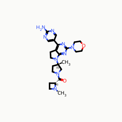 CN1CC[C@@H]1C(=O)N1CC[C@](C)(N2CCc3c(-c4cnc(N)nc4)nc(N4CCOCC4)nc32)C1